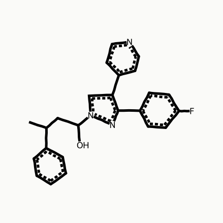 CC(CC(O)n1cc(-c2ccncc2)c(-c2ccc(F)cc2)n1)c1ccccc1